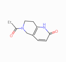 CCC(=O)N1CCc2[nH]c(=O)ccc2C1